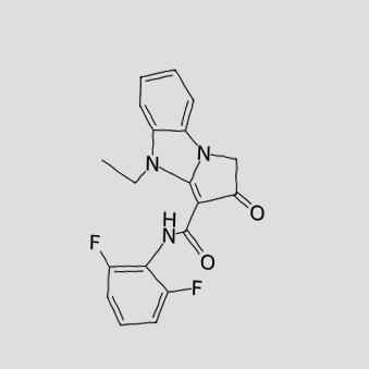 CCN1C2=C(C(=O)Nc3c(F)cccc3F)C(=O)CN2c2ccccc21